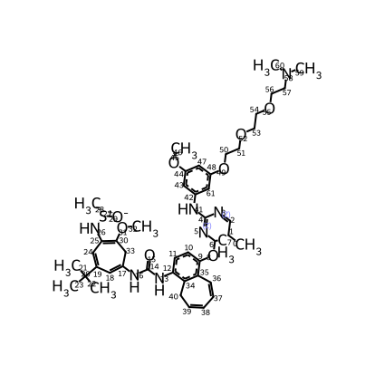 CC/C=N\C(=N/C(C)Oc1ccc(NC(=O)NC2=CC(C(C)(C)C)=CC(N[S+](C)[O-])=C(OC)C2)c2c1C=CC=CC2)Nc1cc(OC)cc(OCCOCCOCCN(C)C)c1